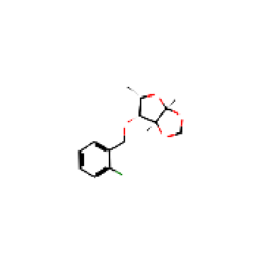 C[C@H]1O[C@@H]2OCO[C@@H]2[C@H]1OCc1ccccc1Cl